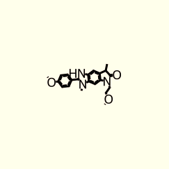 COCCN1C(=O)C(C)c2cc3c(cc21)N(C)C(c1ccc(OC)cc1)N3